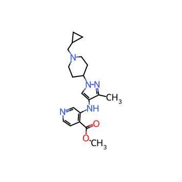 COC(=O)c1ccncc1Nc1cn(C2CCN(CC3CC3)CC2)nc1C